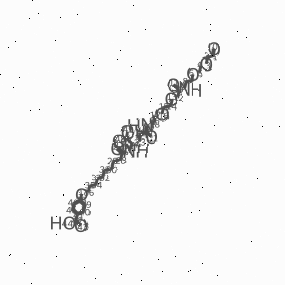 O=CCOCCOCCNC(=O)COCCOCCNC(=O)CC[C@H](NC(=O)CCCCCCCCCOc1ccc(C(=O)O)cc1)C(=O)O